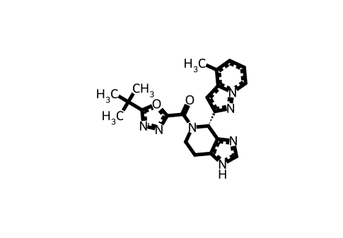 Cc1cccn2nc([C@@H]3c4nc[nH]c4CCN3C(=O)c3nnc(C(C)(C)C)o3)cc12